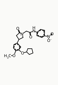 COc1ccc(C2CC(=O)N(CC(=O)Nc3ccc([N+](=O)[O-])cc3)C2)cc1OC1CCCC1